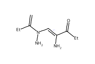 C=C(CC)N(N)/C=C(\N)C(=O)CC